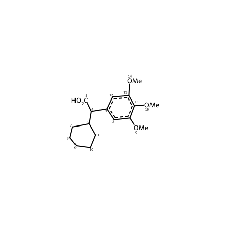 COc1cc(C(C(=O)O)C2CCCCC2)cc(OC)c1OC